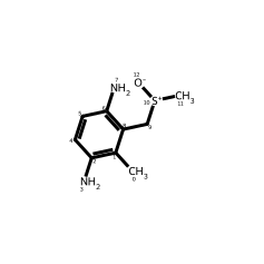 Cc1c(N)ccc(N)c1C[S+](C)[O-]